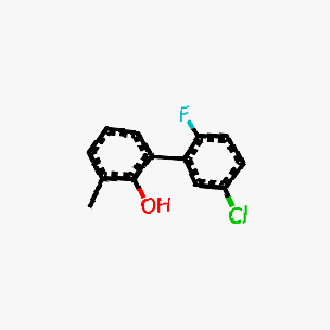 Cc1cccc(-c2cc(Cl)ccc2F)c1O